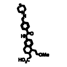 COCCC1c2ccc(NC(=O)c3ccc(C=NN4CCSCC4)cc3)cc2CCC1CC(=O)O